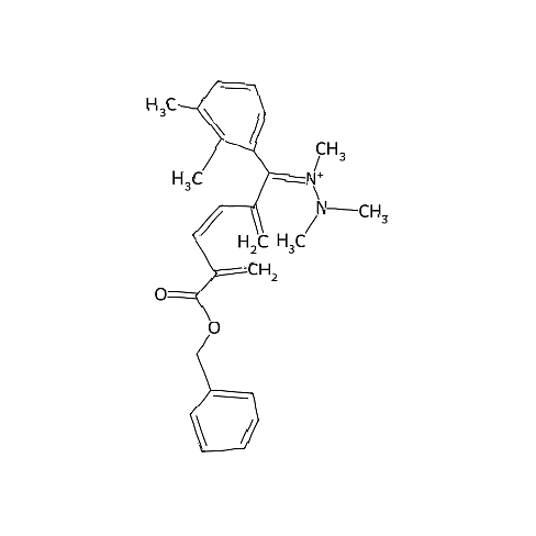 C=C(/C=C\C(=C)/C(c1cccc(C)c1C)=[N+](/C)N(C)C)C(=O)OCc1ccccc1